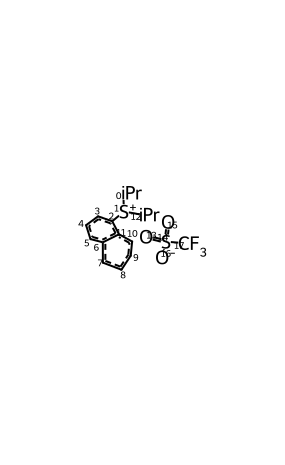 CC(C)[S+](c1cccc2ccccc12)C(C)C.O=S(=O)([O-])C(F)(F)F